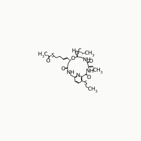 C/C=C1\NC(=O)c2nc(ccc2SCC)CNC(=O)C[C@@H](/C=C/CCSC(C)=O)OC(=O)[C@H](C(C)C)NC1=O